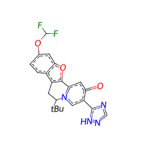 CC(C)(C)C1Cc2c(oc3cc(OC(F)F)ccc23)-c2cc(=O)c(-c3ncn[nH]3)cn21